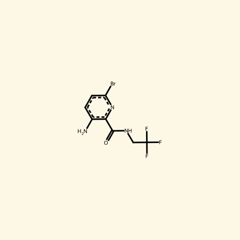 Nc1ccc(Br)nc1C(=O)NCC(F)(F)F